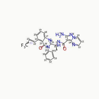 C[C@H](NC(=O)c1c(N)nn2cccnc12)c1nc2cccc(/C=C/C(F)(F)F)c2c(=O)n1-c1ccccc1